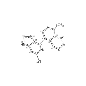 Cc1ccc(-c2nc(Cl)nc3[nH]cnc23)c2ccccc12